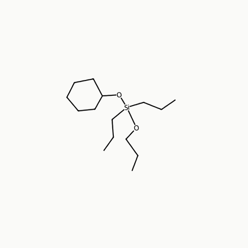 CCCO[Si](CCC)(CCC)OC1CCCCC1